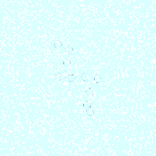 c1ccc2c(c1)Cc1c(-c3ccc(-n4c5ccccc5c5ccc(-c6ccc7c(c6)C(c6ccc(-c8ccc9ccccc9c8)cc6)c6ccccc6-7)cc54)cc3)cccc1-2